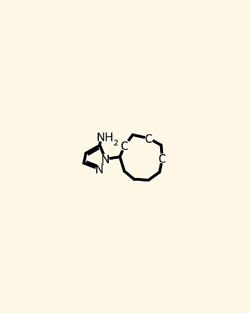 Nc1ccnn1C1CCCCCCCCC1